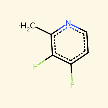 [CH2]c1nccc(F)c1F